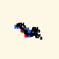 CC1CNc2c3c(ccc2=C2C=C(C(F)(F)F)Cn4ccc1c42)=NC(C(=O)c1cc(F)c(NC(=O)/C=C/CNC2(C)CC2)c(F)c1)=N3